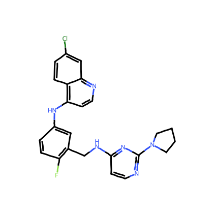 Fc1ccc(Nc2ccnc3cc(Cl)ccc23)cc1CNc1ccnc(N2CCCC2)n1